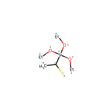 CCO[Si](OCC)(OCC)C(C)[S]